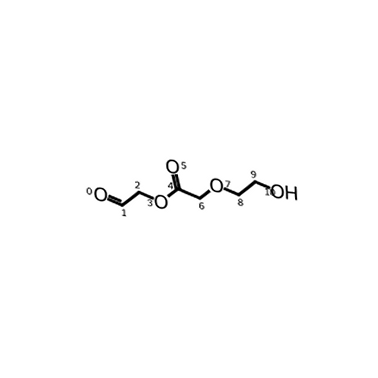 O=CCOC(=O)COCCO